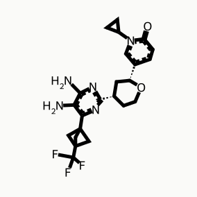 Nc1nc([C@H]2CCO[C@@H](c3ccc(=O)n(C4CC4)c3)C2)nc(C23CC(C(F)(F)F)(C2)C3)c1N